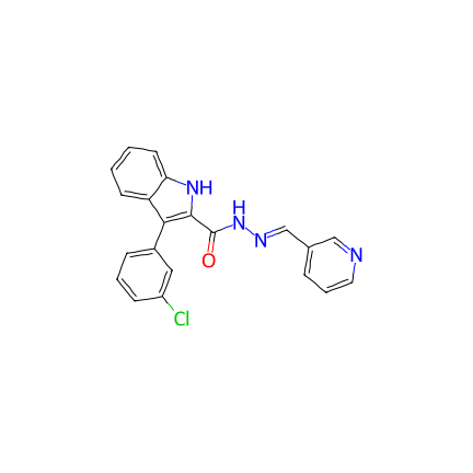 O=C(NN=Cc1cccnc1)c1[nH]c2ccccc2c1-c1cccc(Cl)c1